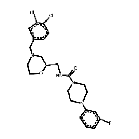 O=C(NCC1CN(Cc2ccc(Cl)c(Cl)c2)CCO1)N1CCN(c2cccc(F)c2)CC1